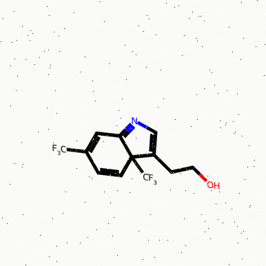 OCCC1=CN=C2C=C(C(F)(F)F)C=CC12C(F)(F)F